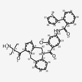 C[N+](C)(N)C(=O)c1ccc2n1Cc1ccccc1N(C(=O)c1ccc(NC(=O)c3ccccc3-c3cccs3)cc1Cl)C2